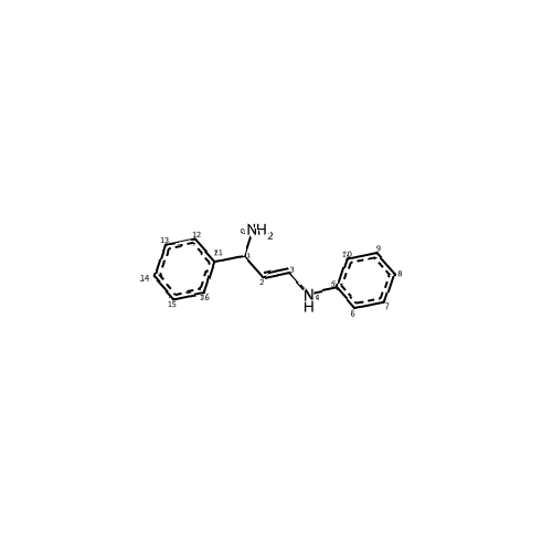 NC(C=CNc1ccccc1)c1ccccc1